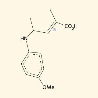 COc1ccc(NC(C)/C=C(\C)C(=O)O)cc1